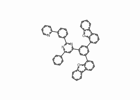 c1ccc(-c2cc(-c3cc(-c4cccc5c4oc4ccccc45)cc(-c4cccc5c4oc4ccccc45)c3)nc(-c3cccc(-c4ccccn4)c3)n2)cc1